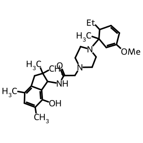 CCC1C=CC(OC)=CC1(C)N1CCN(CC(=O)NC2c3c(O)c(C)cc(C)c3CC2(C)C)CC1